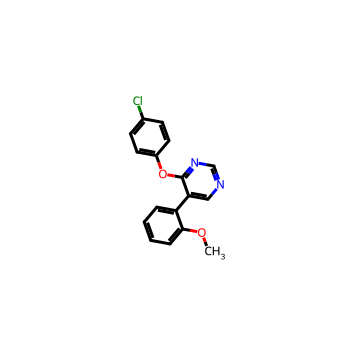 COc1ccccc1-c1cncnc1Oc1ccc(Cl)cc1